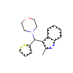 Cc1[nH]c2ccccc2c1C(c1cccs1)N1CCOCC1